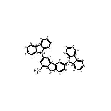 Cc1cc(-n2c3ccccc3c3ccccc32)cc2c1Cc1ccc(-n3c4ccccc4c4ccccc43)cc1-2